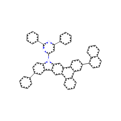 c1ccc(-c2ccc3c(c2)c2cc4c5ccccc5c5cc(-c6cccc7ccccc67)ccc5c4cc2n3-c2cc(-c3ccccc3)nc(-c3ccccc3)n2)cc1